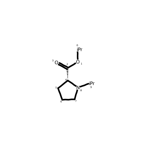 CC(C)OC(=O)[C@H]1CCCN1C(C)C